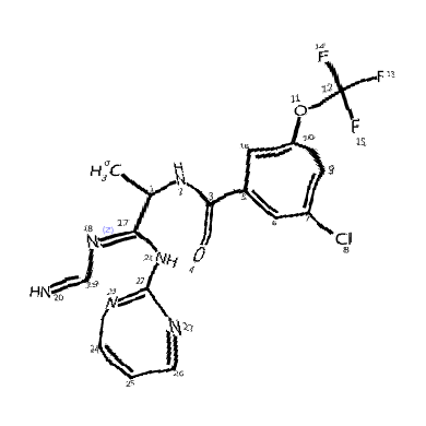 CC(NC(=O)c1cc(Cl)cc(OC(F)(F)F)c1)/C(=N/C=N)Nc1ncccn1